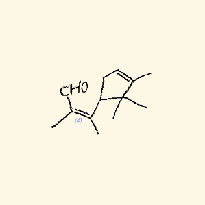 CC1=CCC(/C(C)=C(/C)C=O)C1(C)C